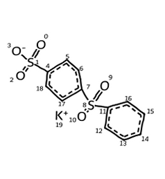 O=S(=O)([O-])c1ccc(S(=O)(=O)c2ccccc2)cc1.[K+]